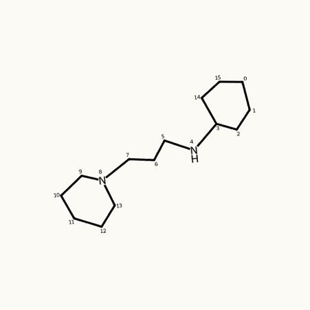 C1CCC(NCCCN2CCCCC2)CC1